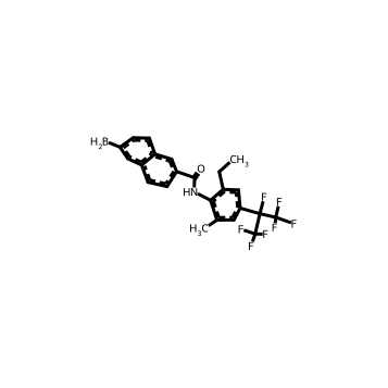 Bc1ccc2cc(C(=O)Nc3c(C)cc(C(F)(C(F)(F)F)C(F)(F)F)cc3CC)ccc2c1